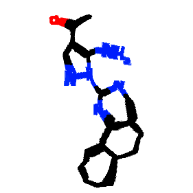 CC(=O)c1cnn(-c2ncc3c(n2)-c2ccccc2CC3)c1N